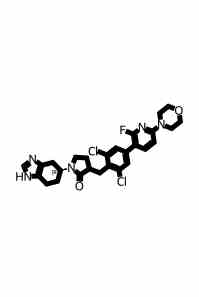 O=C1C(Cc2c(Cl)cc(-c3ccc(N4CCOCC4)nc3F)cc2Cl)CCN1[C@@H]1CCc2[nH]cnc2C1